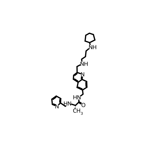 C[C@H](NCc1ccccn1)C(=O)NCc1ccc2nc(CNCCCNC3CCCCC3)ccc2c1